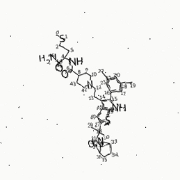 CSCCC(NC(=O)C1CCN(CCc2c(-c3cc(C)cc(C)c3)[nH]c3sc(C(C)(C)CC4C5CCC4C(=O)N5)cc23)CC1)C(N)=O